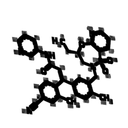 CC[C@@H]1CN(Cc2cc(C(=CC(=O)Nc3cccnc3)c3ccc(C#N)cc3C)ccc2C)S(=O)(=O)c2cccnc2O1